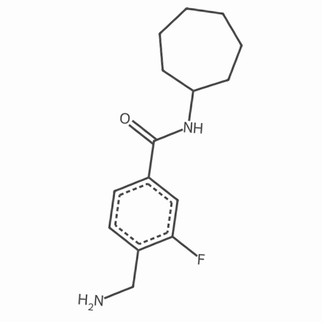 NCc1ccc(C(=O)NC2CCCCCC2)cc1F